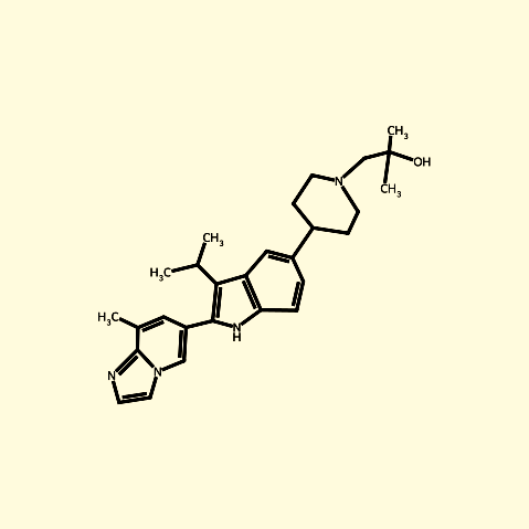 Cc1cc(-c2[nH]c3ccc(C4CCN(CC(C)(C)O)CC4)cc3c2C(C)C)cn2ccnc12